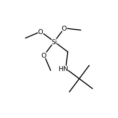 CO[Si](CNC(C)(C)C)(OC)OC